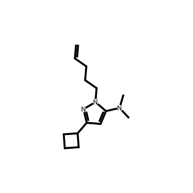 C=CCCCn1nc(C2CCC2)cc1N(C)C